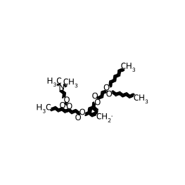 [CH2]c1cc(COC(=O)CCC(CCCCCC)OC(=O)OCCCN(CC)CC)cc(COC(=O)CCC(OCCCCCCCC)OCCCCCCCC)c1